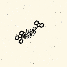 O=C(CCC(NC(=O)OCC1c2ccccc2-c2ccccc21)C(=O)O)NC(c1ccccc1)(c1ccccc1)c1ccccc1